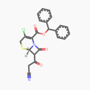 N#CCC(=O)C1C(=O)N2C(C(=O)OC(c3ccccc3)c3ccccc3)=C(Cl)CS[C@@H]12